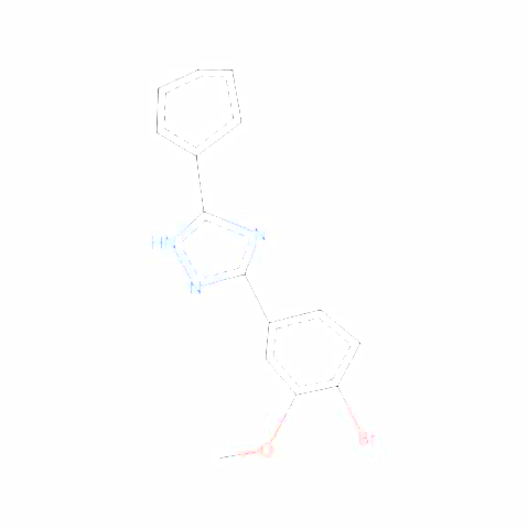 COc1cc(-c2n[nH]c(-c3ccccc3)n2)ccc1Br